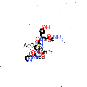 CC[C@H](C)[C@H](NC(=O)[C@H]1CCCCN1C)C(=O)N(COC(=O)CC(C)C)[C@H](C[C@@H](OC(C)=O)c1nc(C(=O)N[C@@H](Cc2ccc(O)cc2)C[C@H](C)C(=O)OC(C)CN)cs1)C(C)C